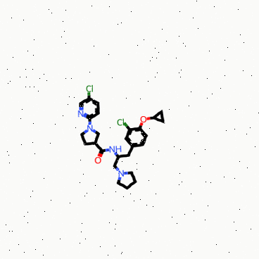 O=C(NC(Cc1ccc(OC2CC2)c(Cl)c1)CN1CCCC1)C1CCN(c2ccc(Cl)cn2)C1